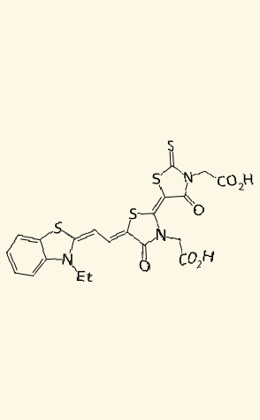 CCN1C(=CC=c2s/c(=C3\SC(=S)N(CC(=O)O)C3=O)n(CC(=O)O)c2=O)Sc2ccccc21